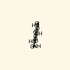 CCC(=O)CNCCOCCOCC(=O)NCCOCCOCC(=O)NCCCC[C@H](NC)C(C)=O